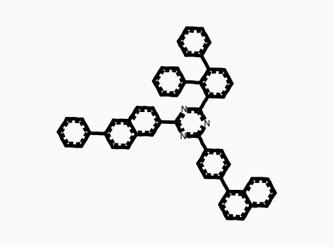 c1ccc(-c2ccc3cc(-c4nc(-c5ccc(-c6cccc7ccccc67)cc5)nc(-c5cccc(-c6ccccc6)c5-c5ccccc5)n4)ccc3c2)cc1